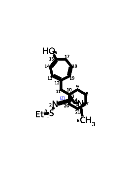 CCS/N=C1\CN(C)C2CCC1(CC1=CC=C(O)CC=C1)CC2